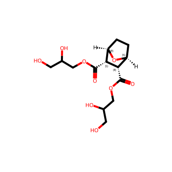 O=C(OCC(O)CO)[C@@H]1[C@H](C(=O)OCC(O)CO)[C@H]2CC[C@@H]1O2